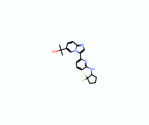 CC(C)(O)c1ccc2ncc(-c3cccc(NC4CCCC4(F)F)n3)n2c1